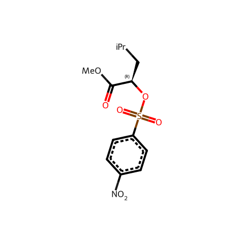 COC(=O)[C@@H](CC(C)C)OS(=O)(=O)c1ccc([N+](=O)[O-])cc1